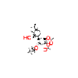 C=C1CCC2[C@H](CO)C([C@@]3(C)C[C@@H](OC(C)=O)[C@@H](OC(C)=O)C[C@@H]3CO[Si](C)(C)C(C)(C)C)CC[C@]12C